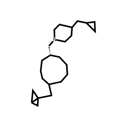 C1CC[C@@H](CN2CCC(CC3CC3)CC2)CCCC(CC23CC2C3)C1